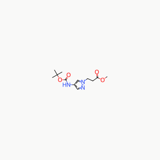 COC(=O)CCn1cc(NC(=O)OC(C)(C)C)cn1